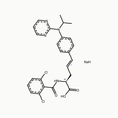 CC(C)N(c1ccc(/C=C/C[C@H](NC(=O)c2c(Cl)cccc2Cl)C(=O)O)cc1)c1ncccn1.[NaH]